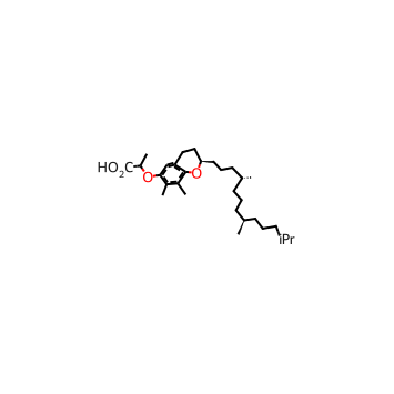 Cc1c(OC(C)C(=O)O)cc2c(c1C)O[C@H](CCC[C@H](C)CCC[C@H](C)CCCC(C)C)CC2